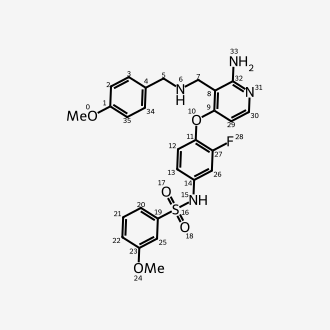 COc1ccc(CNCc2c(Oc3ccc(NS(=O)(=O)c4cccc(OC)c4)cc3F)ccnc2N)cc1